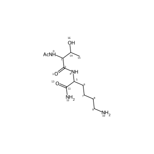 CC(=O)NC(C(=O)NC(CCCCN)C(N)=O)C(C)O